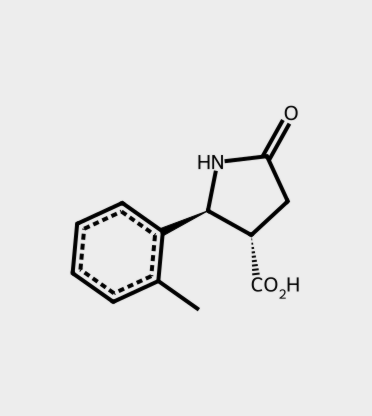 Cc1ccccc1[C@H]1NC(=O)C[C@@H]1C(=O)O